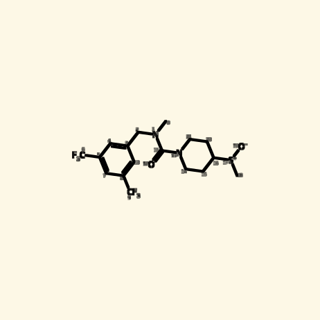 CN(Cc1cc(C(F)(F)F)cc(C(F)(F)F)c1)C(=O)N1CCC([S+](C)[O-])CC1